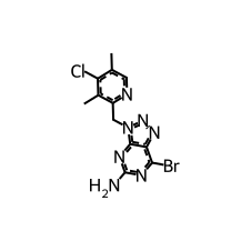 Cc1cnc(Cn2nnc3c(Br)nc(N)nc32)c(C)c1Cl